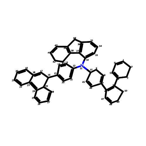 C1=CCCC(C2=C(C3=CCC(N(c4ccc(C5C=c6ccccc6=C6C=CC=CC65)cc4)c4cccc5c4C4=C(C=CCC4)C5)C=C3)C=CCC2)=C1